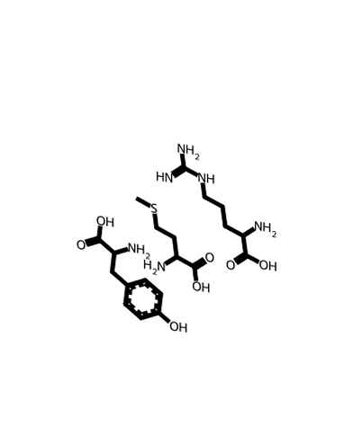 CSCCC(N)C(=O)O.N=C(N)NCCCC(N)C(=O)O.NC(Cc1ccc(O)cc1)C(=O)O